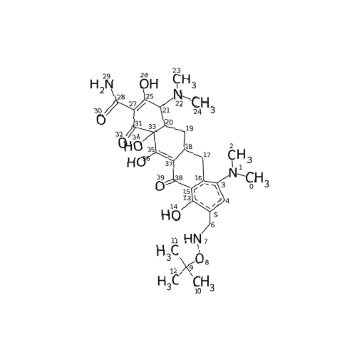 CN(C)c1cc(CNOC(C)(C)C)c(O)c2c1CC1CC3C(N(C)C)C(O)=C(C(N)=O)C(=O)C3(O)C(O)=C1C2=O